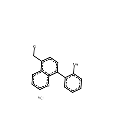 Cl.Oc1ccccc1-c1ccc(CCl)c2cccnc12